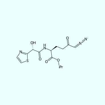 CC(C)OC(=O)[C@H](CCC(=O)C=[N+]=[N-])NC(=O)[C@@H](O)c1nccs1